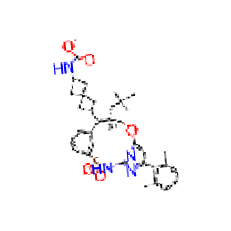 COC(=O)NC1CC2(C1)CC(C1c3cccc(c3)S(=O)(=O)Nc3nc(cc(-c4c(C)cccc4C)n3)OC[C@H]1CC(C)(C)C)C2